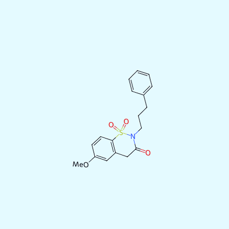 COc1ccc2c(c1)CC(=O)N(CCCc1ccccc1)S2(=O)=O